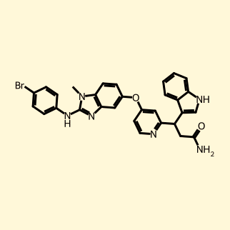 Cn1c(Nc2ccc(Br)cc2)nc2cc(Oc3ccnc(C(CC(N)=O)c4c[nH]c5ccccc45)c3)ccc21